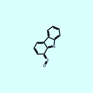 O=S=C1C=CC=C2C1=Nc1ccccc12